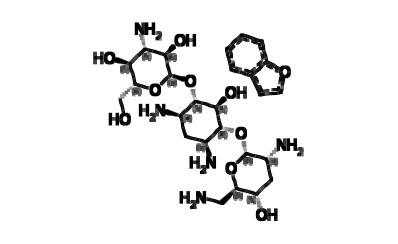 NC[C@H]1O[C@H](O[C@H]2[C@H](O)[C@@H](O[C@H]3O[C@H](CO)[C@@H](O)[C@H](N)[C@H]3O)[C@H](N)C[C@@H]2N)[C@H](N)C[C@@H]1O.c1ccc2occc2c1